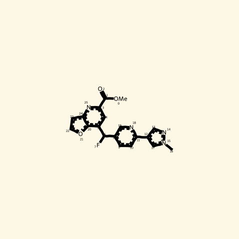 COC(=O)c1cc(C(F)c2ccc(-c3cnn(C)c3)nc2)c2occc2n1